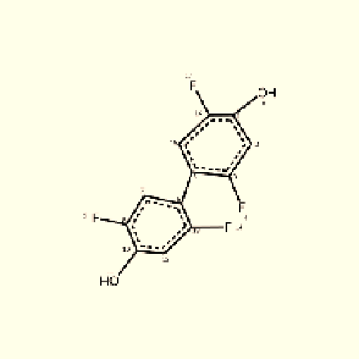 Oc1cc(F)c(-c2cc(F)c(O)cc2F)cc1F